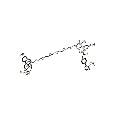 Cc1ncsc1-c1ccc(CNC(=O)[C@@H]2C[C@@H](O)CN2C(=O)[C@@H](NC(=O)COCCOCCOCCOCCOCCCC[C@@]23Cc4cc(O)ccc4[C@]4(CC[C@]5(C)[C@@H](O)CC[C@H]5[C@H]24)C3)C(C)C)cc1